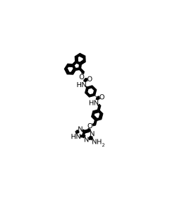 Nc1nc(OCc2ccc(CNC(=O)[C@H]3CC[C@H](NC(=O)OCC4c5ccccc5-c5ccccc54)CC3)cc2)c2nc[nH]c2n1